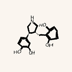 Oc1ccc([C@H]2CNC[C@@H]2Cc2c(O)cccc2O)cc1O